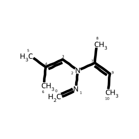 C=NN(C=C(C)C)/C(C)=C\C